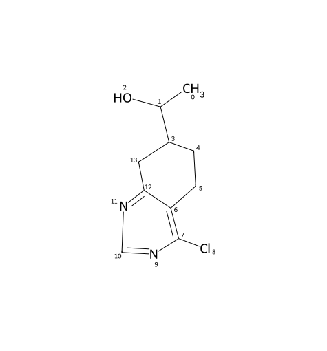 CC(O)C1CCc2c(Cl)ncnc2C1